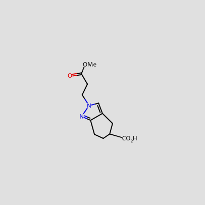 COC(=O)CCn1cc2c(n1)CCC(C(=O)O)C2